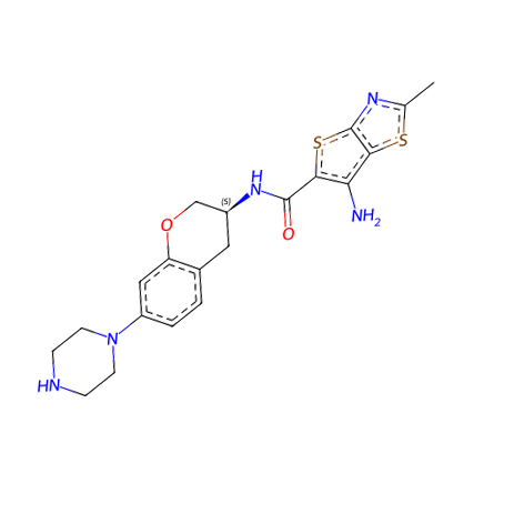 Cc1nc2sc(C(=O)N[C@@H]3COc4cc(N5CCNCC5)ccc4C3)c(N)c2s1